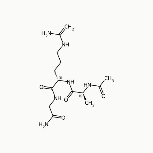 C=C(N)NCCC[C@H](NC(=O)[C@H](C)NC(C)=O)C(=O)NCC(N)=O